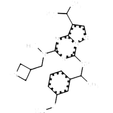 COc1cccc(C(C)Nc2nc(N(C)CC3CNC3)nc3c(C(C)C)cnn23)c1